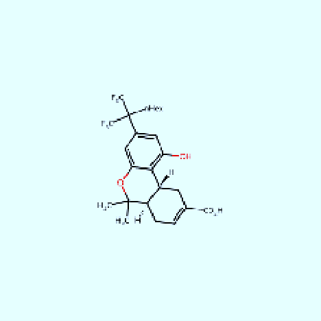 CCCCCCC(c1cc(O)c2c(c1)OC(C)(C)[C@@H]1CC=C(C(=O)O)C[C@@H]21)(C(F)(F)F)C(F)(F)F